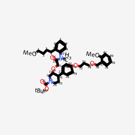 COCCCCc1ccccc1N(C)C(=O)COC1CN(C(=O)OC(C)(C)C)CCC1c1ccc(OCCCOCc2ccccc2OC)cc1